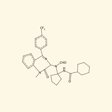 CN1C(=O)C(N(C=O)C2(NC(=O)C3CCCCC3)CCCC2)N=C(c2ccc(C(F)(F)F)cc2)c2ccccc21